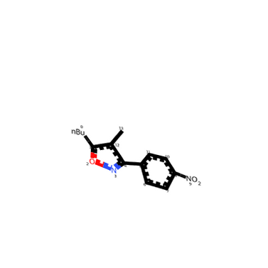 CCCCc1onc(-c2ccc([N+](=O)[O-])cc2)c1C